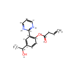 C=CCC(=O)Oc1ccc(C(O)C(F)(F)F)cc1-c1ncccn1